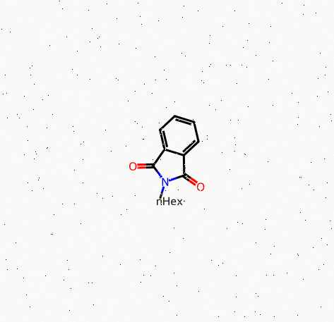 CCCCC[CH]N1C(=O)c2ccccc2C1=O